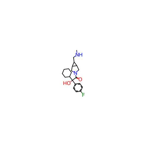 CNCC1C2CN(C(=O)C(O)(c3ccc(F)cc3)C3CCCCC3)CC12